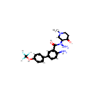 CN1CCC(=O)C(N(N)C(=O)c2cc(-c3ccc(OC(F)(F)F)cc3)ccc2N)C1